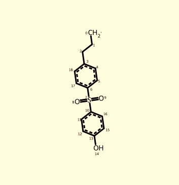 [CH2]CCc1ccc(S(=O)(=O)c2ccc(O)cc2)cc1